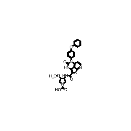 COC1CN(C(=O)O)CC1NC(=O)c1sc2nccc3c2c1NC(=O)N3c1ccc(Oc2ccccc2)cc1